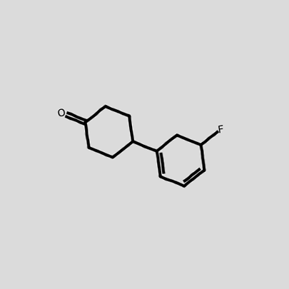 O=C1CCC(C2=CC=CC(F)C2)CC1